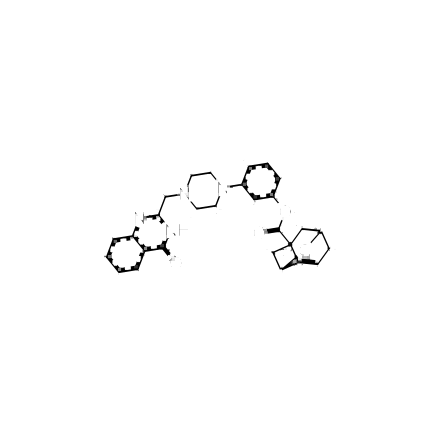 O=C(Oc1cccc(N2CCN(Cc3nc4ccccc4c(=O)[nH]3)CC2)c1)C12CC3CC=C1C(C3)C2